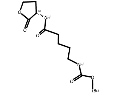 CC(C)(C)OC(=O)NCCCCC(=O)N[C@H]1CCOC1=O